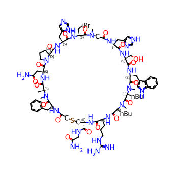 CCCC[C@H]1C(=O)N(C)[C@@H](CCCC)C(=O)N[C@@H](CCCNC(=N)N)C(=O)N[C@H](C(=O)NCC(N)=O)CSCC(=O)N[C@@H](Cc2ccccc2)C(=O)N(C)[C@@H](C)C(=O)N[C@@H](CC(N)=O)C(=O)N2CCC[C@H]2C(=O)N[C@@H](Cc2cnc[nH]2)C(=O)N[C@@H](CC(C)C)C(=O)N(C)CC(=O)N[C@@H](Cc2c[nH]cn2)C(=O)N[C@@H](CO)C(=O)N[C@@H](Cc2c[nH]c3ccccc23)C(=O)N1C